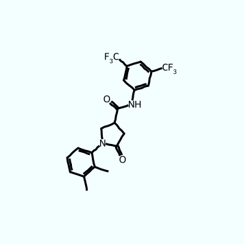 Cc1cccc(N2CC(C(=O)Nc3cc(C(F)(F)F)cc(C(F)(F)F)c3)CC2=O)c1C